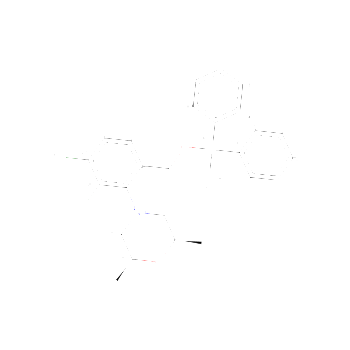 C[C@@H]1CN(c2c(CO[Si](c3ccccc3)(c3ccccc3)C(C)(C)C)c[c]c(F)c2F)C[C@H](C)O1